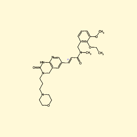 CCOc1c(CN(C)C(=O)/C=C/c2cnc3c(c2)CN(CCCN2CCOCC2)C(=O)N3)cccc1OC